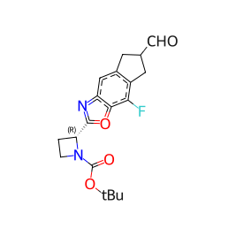 CC(C)(C)OC(=O)N1CC[C@@H]1c1nc2cc3c(c(F)c2o1)CC(C=O)C3